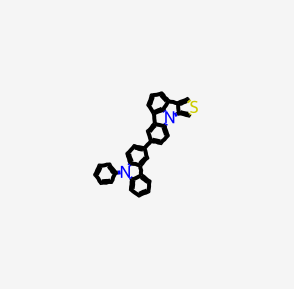 c1ccc(-n2c3ccccc3c3cc(-c4ccc5c(c4)c4cccc6c7cscc7n5c46)ccc32)cc1